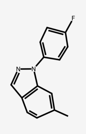 Cc1ccc2cnn(-c3ccc(F)cc3)c2c1